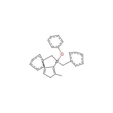 CC1=CCC(C)=[C]1[Zr]([CH2]c1ccccc1)([CH2]c1ccccc1)[O]c1ccccc1